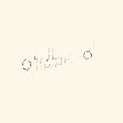 O=C(CNC(=O)c1cccc(C(F)(F)F)c1)N[C@H]1CN(C2CCC(c3cccc(C(F)(F)F)c3)CC2)C[C@@H]1O